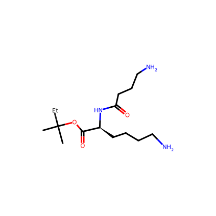 CCC(C)(C)OC(=O)[C@H](CCCCN)NC(=O)CCCN